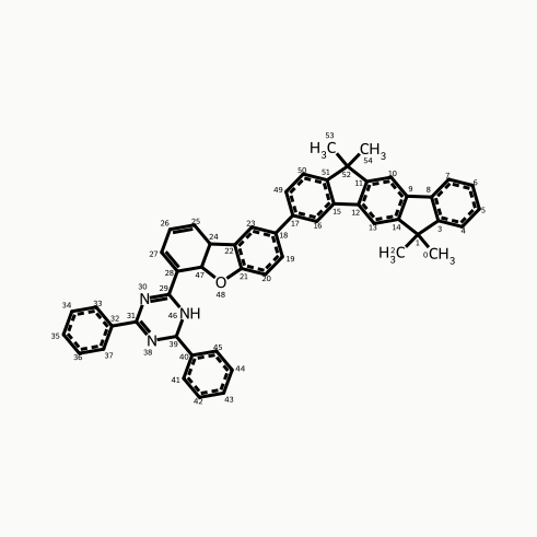 CC1(C)c2ccccc2-c2cc3c(cc21)-c1cc(-c2ccc4c(c2)C2C=CC=C(C5=NC(c6ccccc6)=NC(c6ccccc6)N5)C2O4)ccc1C3(C)C